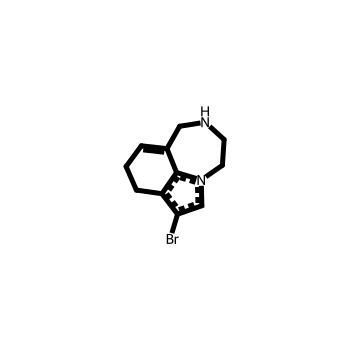 Brc1cn2c3c1CCC=C3CNCC2